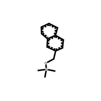 C[Si](C)(C)O[CH]c1ccc2ccccc2c1